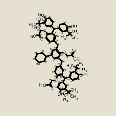 CC(C)(C)c1cc(C(c2ccc(O)c(C(C)(C)C)c2)c2cc(Cc3cc(C4CCCCC4)cc(Cc4ccc(OCC(=O)O)c(C(c5ccc(O)c(C(C)(C)C)c5)c5ccc(O)c(C(C)(C)C)c5)c4)c3OCC(=O)O)ccc2OCC(=O)O)ccc1O